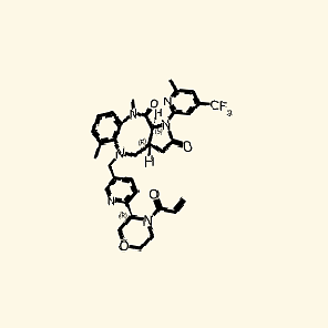 C=CC(=O)N1CCOC[C@H]1c1ccc(CN2C[C@H]3CC(=O)N(c4cc(C(F)(F)F)cc(C)n4)[C@@H]3C(=O)N(C)c3cccc(C)c32)cn1